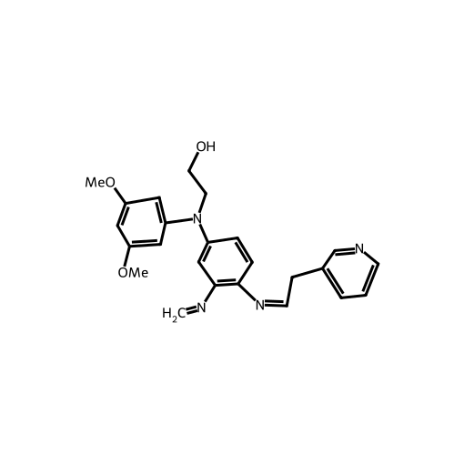 C=Nc1cc(N(CCO)c2cc(OC)cc(OC)c2)ccc1/N=C\Cc1cccnc1